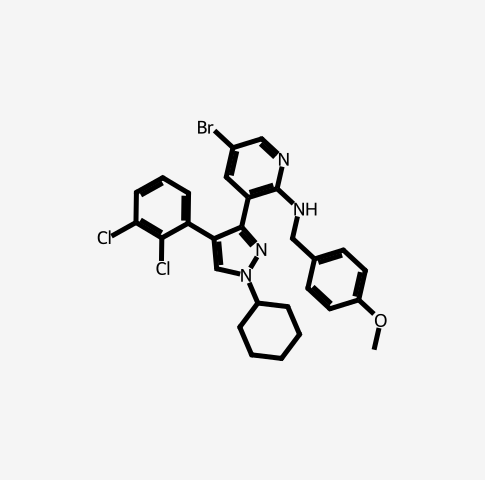 COc1ccc(CNc2ncc(Br)cc2-c2nn(C3CCCCC3)cc2-c2cccc(Cl)c2Cl)cc1